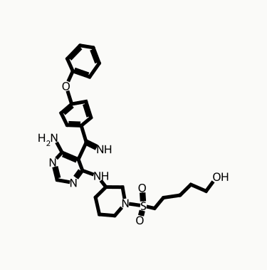 N=C(c1ccc(Oc2ccccc2)cc1)c1c(N)ncnc1NC1CCCN(S(=O)(=O)CCCCCO)C1